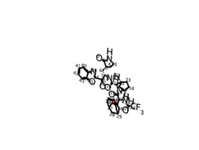 O=C1NCC[C@H]1C[C@H](NC(=O)[C@@H]1[C@H]2CC[C@H](C2)N1C(=O)[C@@H](NC(=O)C(F)(F)F)C12CC3CC(CC(C3)C1)C2)C(=O)c1nc2ccccc2o1